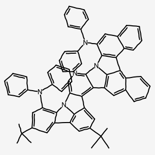 CC(C)(C)c1cc(N(c2ccccc2)c2ccccc2)c2c(c1)c1cc(C(C)(C)C)cc3c4c5c6cc7ccccc7c7c8c9ccccc9cc(N(c9ccccc9)c9ccccc9)c8n(c5ncc4n2c13)c67